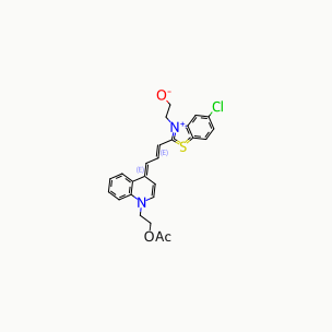 CC(=O)OCCN1C=C/C(=C\C=C\c2sc3ccc(Cl)cc3[n+]2CC[O-])c2ccccc21